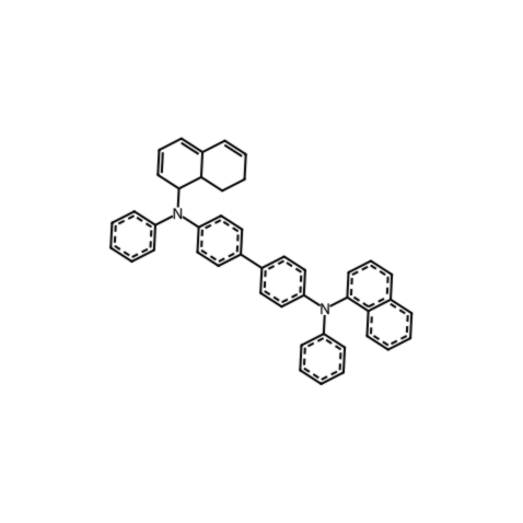 C1=CC(N(c2ccccc2)c2ccc(-c3ccc(N(c4ccccc4)c4cccc5ccccc45)cc3)cc2)C2CCC=CC2=C1